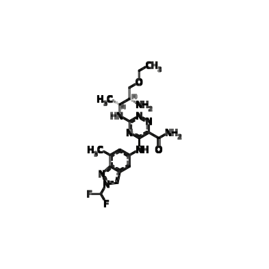 CCOC[C@H](N)[C@@H](C)Nc1nnc(C(N)=O)c(Nc2cc(C)c3nn(C(F)F)cc3c2)n1